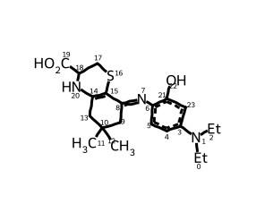 CCN(CC)c1ccc(/N=C2\CC(C)(C)CC3=C2SCC(C(=O)O)N3)c(O)c1